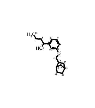 CCCC(O)c1cccc(OCC2CC3CCC2C3)c1